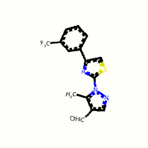 Cc1c(C=O)cnn1-c1nc(-c2cccc(C(F)(F)F)c2)cs1